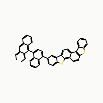 C/C=c1/cc2ccccc2c(-c2ccc(-c3ccc4sc5c(ccc6c5ccc5sc7ccccc7c56)c4c3)c3ccccc23)/c1=C/C